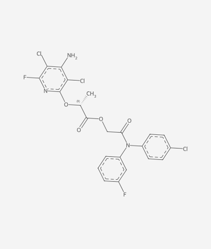 C[C@@H](Oc1nc(F)c(Cl)c(N)c1Cl)C(=O)OCC(=O)N(c1ccc(Cl)cc1)c1cccc(F)c1